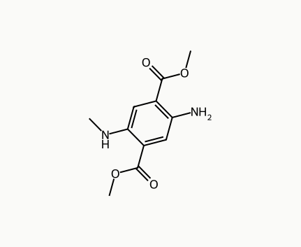 CNc1cc(C(=O)OC)c(N)cc1C(=O)OC